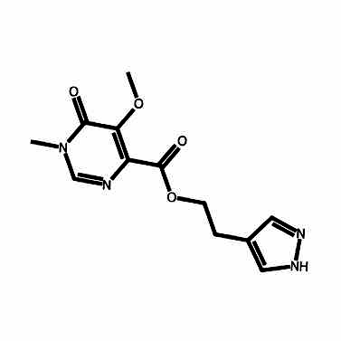 COc1c(C(=O)OCCc2cn[nH]c2)ncn(C)c1=O